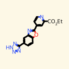 CCOC(=O)c1cc(-c2nc3cc(-c4nn[nH]n4)ccc3o2)ccn1